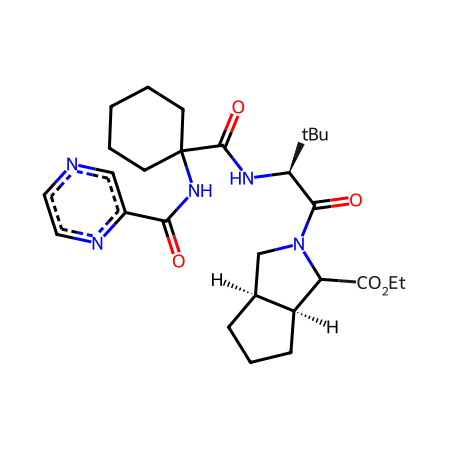 CCOC(=O)C1[C@H]2CCC[C@H]2CN1C(=O)[C@@H](NC(=O)C1(NC(=O)c2cnccn2)CCCCC1)C(C)(C)C